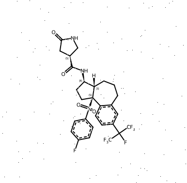 O=C1C[C@H](C(=O)N[C@@H]2CC[C@@]3(S(=O)(=O)c4ccc(F)cc4)c4ccc(C(F)(C(F)(F)F)C(F)(F)F)cc4CCC[C@@H]23)CN1